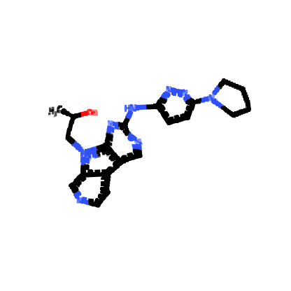 C[C@@H](O)Cn1c2cnccc2c2cnc(Nc3ccc(N4CCCC4)nn3)nc21